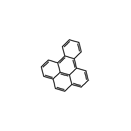 [c]1[c]c2c3ccccc3c3cccc4ccc(c1)c2c43